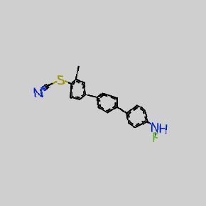 Cc1cc(-c2ccc(-c3ccc(NF)cc3)cc2)ccc1SC#N